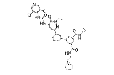 CCn1nc(-c2cccc(-c3cc(C(=O)NCCN4CCCC4)cc(C(=O)NC4CC4)c3)c2)cc(NC(=O)Nc2c(Cl)cncc2Cl)c1=O